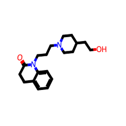 O=C1CCc2ccccc2N1CCCN1CCC(CCO)CC1